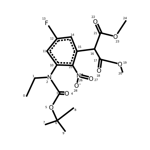 CCN(C(=O)OC(C)(C)C)c1cc(F)cc(C(C(=O)OC)C(=O)OC)c1[N+](=O)[O-]